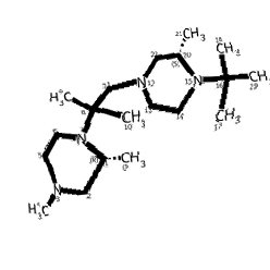 C[C@@H]1CN(C)CCN1C(C)(C)CN1CCN(C(C)(C)C)[C@@H](C)C1